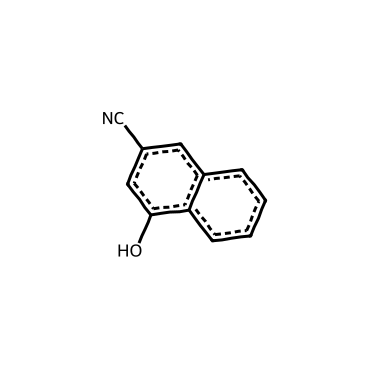 N#Cc1cc(O)c2ccccc2c1